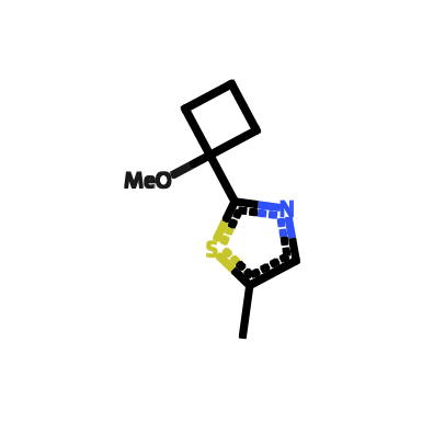 COC1(c2ncc(C)s2)CCC1